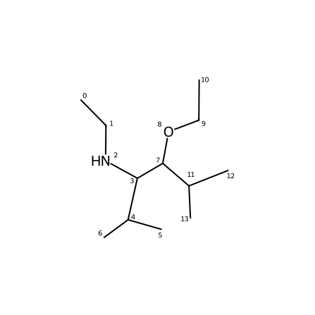 CCNC(C(C)C)C(OCC)C(C)C